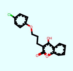 O=c1oc2ccccc2c(O)c1CCCOc1ccc(Cl)cc1